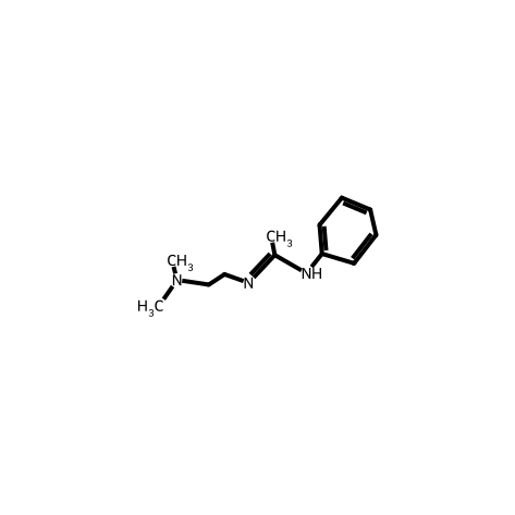 C/C(=N\CCN(C)C)Nc1ccccc1